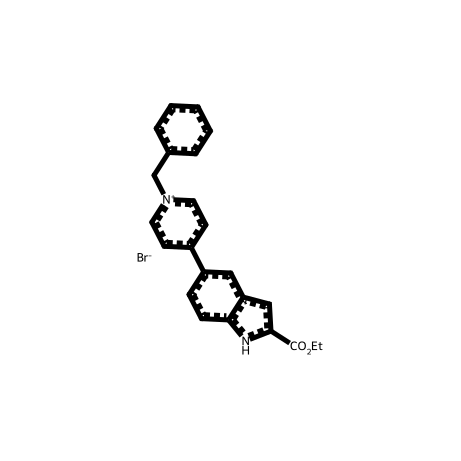 CCOC(=O)c1cc2cc(-c3cc[n+](Cc4ccccc4)cc3)ccc2[nH]1.[Br-]